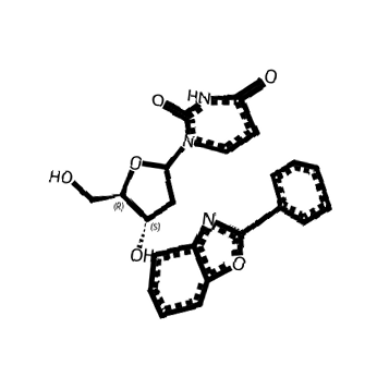 O=c1ccn(C2C[C@H](O)[C@@H](CO)O2)c(=O)[nH]1.c1ccc(-c2nc3ccccc3o2)cc1